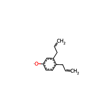 C=CCc1ccc([O])cc1CC=C